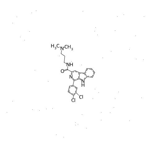 CN(C)CCCNC(=O)c1cc2c([nH]c3ccccc32)c(-c2ccc(Cl)c(Cl)c2)n1